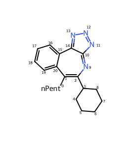 CCCCCc1c(C2CCCCC2)nc2nnnc-2c2ccccc12